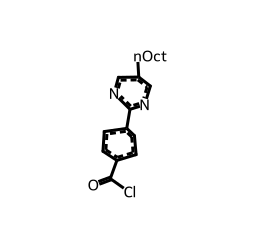 CCCCCCCCc1cnc(-c2ccc(C(=O)Cl)cc2)nc1